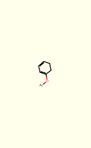 CC(=O)OC1=CC=CC[CH]1